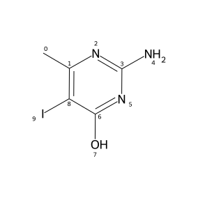 Cc1nc(N)nc(O)c1I